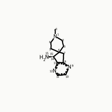 CN1CCC2(CC1)Cc1nccnc1[C@H]2N